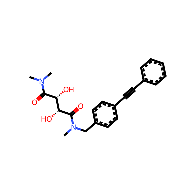 CN(C)C(=O)[C@H](O)[C@@H](O)C(=O)N(C)Cc1ccc(C#Cc2ccccc2)cc1